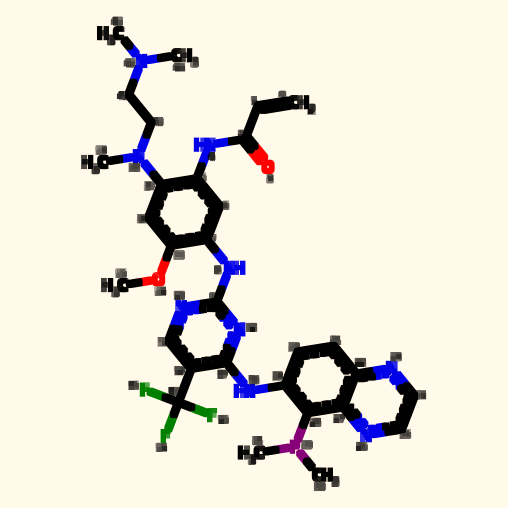 C=CC(=O)Nc1cc(Nc2ncc(C(F)(F)F)c(Nc3ccc4nccnc4c3P(C)C)n2)c(OC)cc1N(C)CCN(C)C